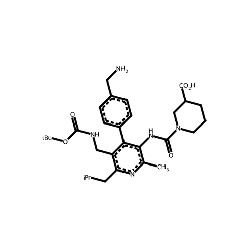 Cc1nc(CC(C)C)c(CNC(=O)OC(C)(C)C)c(-c2ccc(CN)cc2)c1NC(=O)N1CCCC(C(=O)O)C1